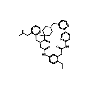 CCc1ccc(NC(=O)CN(Cc2ccccc2CNC)C(=O)C2(C)CCN(Cc3ccncc3)CC2)cc1CC(=O)Nc1ccccn1